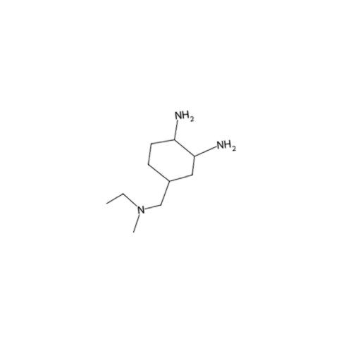 CCN(C)CC1CCC(N)C(N)C1